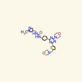 Cn1cc(CNC(=O)Nc2ccc(-c3nc(-c4ccc(CN5CCOCC5)s4)nc(N4CCOCC4)n3)cc2)cn1